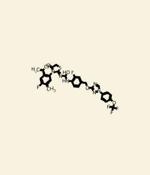 Cc1cc(N2C(=O)CS/C2=N\C(O)Nc2ccc(COc3ncn(-c4ccc(OC(F)(F)F)cc4)n3)cc2F)c(C(C)C)cc1F